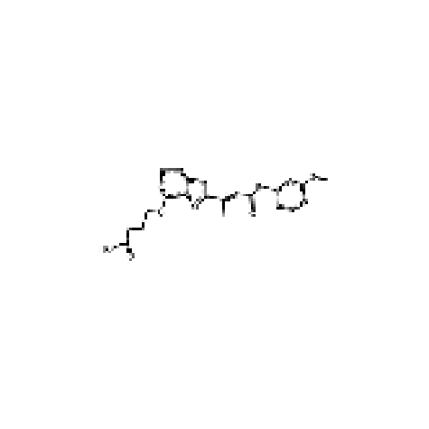 COc1cccc(NC(=O)/C=C(\C)c2cc3cccc(OCCCC(=O)O)c3o2)c1